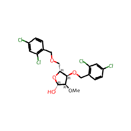 CO[C@@H]1[C@H](OCc2ccc(Cl)cc2Cl)[C@@H](COCc2ccc(Cl)cc2Cl)O[C@H]1O